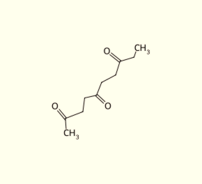 CCC(=O)CCC(=O)CCC(C)=O